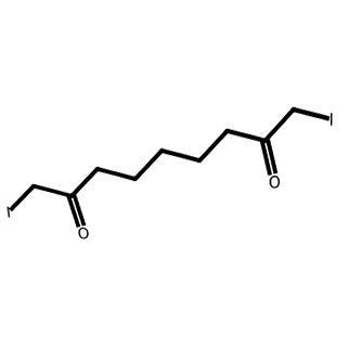 O=C(CI)CCCCCC(=O)CI